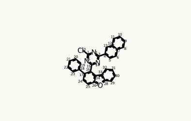 Clc1nc(-c2ccc3ccccc3c2)nc(-c2c(-c3ccccc3)ccc3oc4ccccc4c23)n1